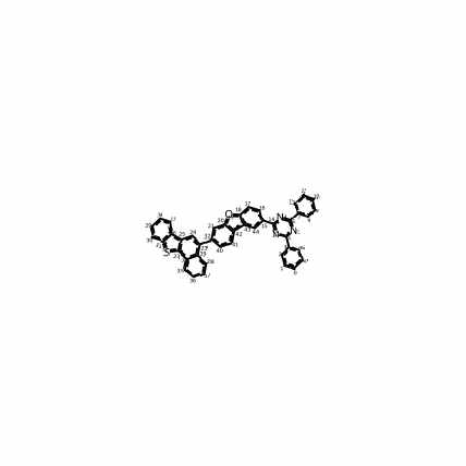 c1ccc(-c2nc(-c3ccccc3)nc(-c3ccc4oc5cc(-c6cc7c8ccccc8sc7c7ccccc67)ccc5c4c3)n2)cc1